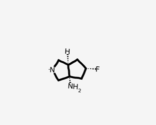 N[C@]12C[N]C[C@H]1C[C@H](F)C2